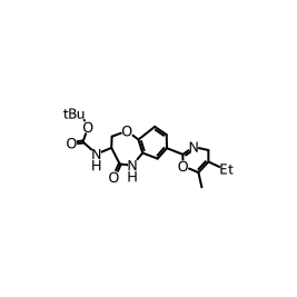 CCC1=C(C)OC(c2ccc3c(c2)NC(=O)C(NC(=O)OC(C)(C)C)CO3)=NC1